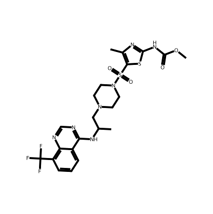 COC(=O)Nc1nc(C)c(S(=O)(=O)N2CCN(CC(C)Nc3ncnc4c(C(F)(F)F)cccc34)CC2)s1